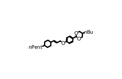 CCCCCC1CCC(/C=C/COc2ccc(C3OCC(CCCC)CO3)cc2)CC1